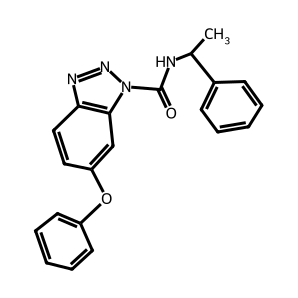 CC(NC(=O)n1nnc2ccc(Oc3ccccc3)cc21)c1ccccc1